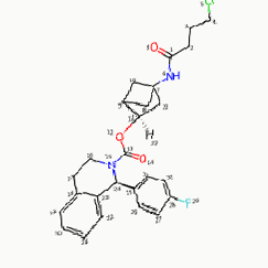 O=C(CCCCl)NC12CC(C1)[C@H](OC(=O)N1CCc3ccccc3[C@@H]1c1ccc(F)cc1)C2